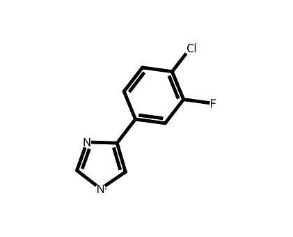 Fc1cc(C2=C[N]C=N2)ccc1Cl